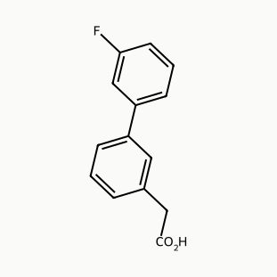 O=C(O)Cc1cccc(-c2cccc(F)c2)c1